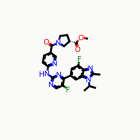 COC(=O)[C@H]1CCN(C(=O)c2ccc(Nc3ncc(F)c(-c4cc(F)c5nc(C)n(C(C)C)c5c4)n3)nc2)C1